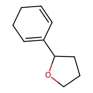 C1=CC(C2CCCO2)=CCC1